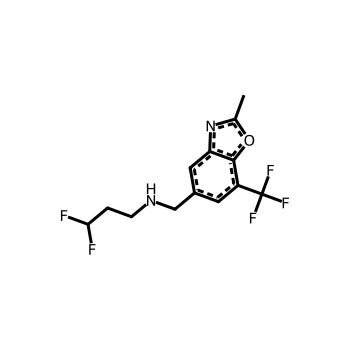 Cc1nc2cc(CNCCC(F)F)cc(C(F)(F)F)c2o1